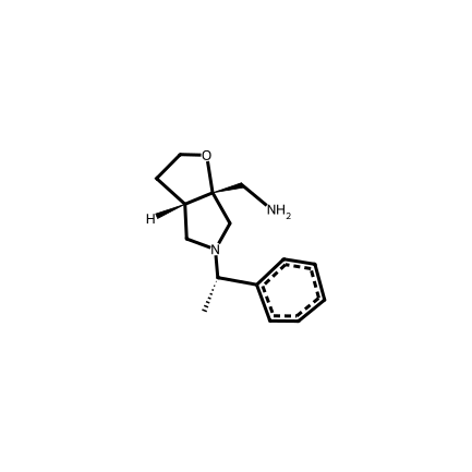 C[C@@H](c1ccccc1)N1C[C@@H]2CCO[C@]2(CN)C1